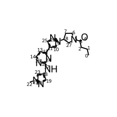 CCCC(=O)N1CCC(n2cc(-c3ccnc(Nc4cnn(C)c4)n3)cn2)C1